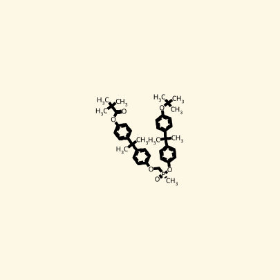 CC(C)(C)Oc1ccc(C(C)(C)c2ccc(OP(C)(=O)COc3ccc(C(C)(C)c4ccc(OC(=O)C(C)(C)C)cc4)cc3)cc2)cc1